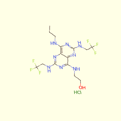 CCCNc1nc(NCC(F)(F)F)nc2c(NCCO)nc(NCC(F)(F)F)nc12.Cl